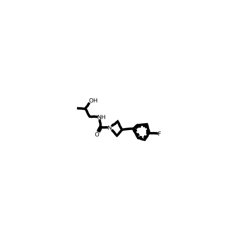 CC(O)CNC(=O)N1CC(c2ccc(F)cc2)C1